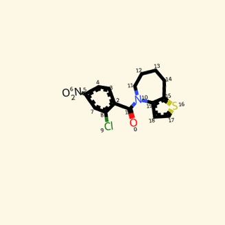 O=C(c1ccc([N+](=O)[O-])cc1Cl)N1CCCCc2sccc21